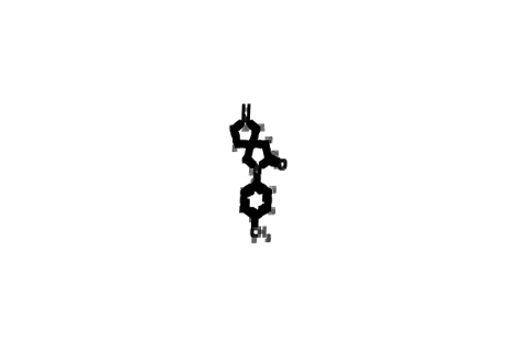 Cc1ccc(N2CC3(CCNC3)CC2=O)cc1